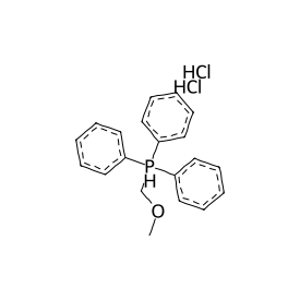 COC[PH](c1ccccc1)(c1ccccc1)c1ccccc1.Cl.Cl